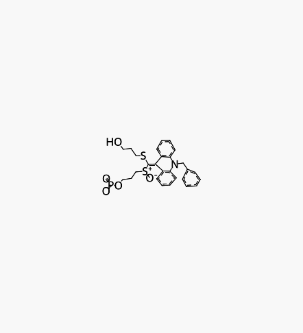 O=P(=O)OCCC[S+]([O-])C(SCCCO)=C1c2ccccc2N(Cc2ccccc2)c2ccccc21